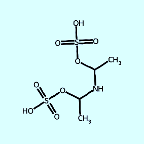 CC(NC(C)OS(=O)(=O)O)OS(=O)(=O)O